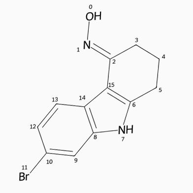 ON=C1CCCc2[nH]c3cc(Br)ccc3c21